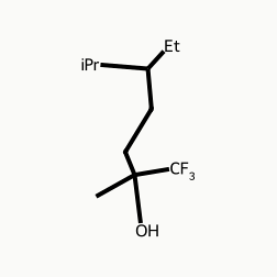 CCC(CCC(C)(O)C(F)(F)F)C(C)C